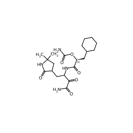 CC1(C)CC(CC(NC(=O)[C@H](CC2CCCCC2)OC(N)=O)C(=O)C(N)=O)C(=O)N1